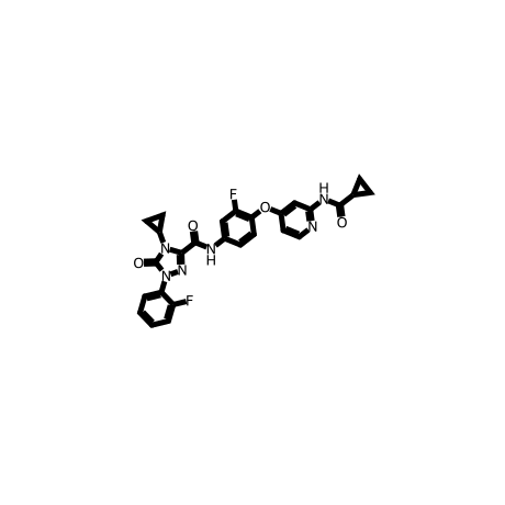 O=C(Nc1ccc(Oc2ccnc(NC(=O)C3CC3)c2)c(F)c1)c1nn(-c2ccccc2F)c(=O)n1C1CC1